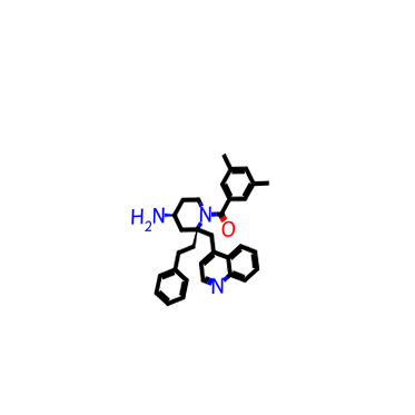 Cc1cc(C)cc(C(=O)N2CC[C@H](N)C[C@@]2(CCc2ccccc2)Cc2ccnc3ccccc23)c1